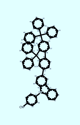 [C-]#[N+]c1ccc(-n2c3ccccc3c3cc(-c4ccc5c(c4)C(c4ccccc4)(c4ccccc4)c4cc(C(c6ccccc6)(c6ccccc6)c6ccccc6)ccc4-5)ccc32)cc1